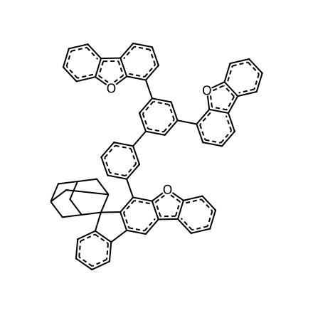 c1cc(-c2cc(-c3cccc4c3oc3ccccc34)cc(-c3cccc4c3oc3ccccc34)c2)cc(-c2c3c(cc4c2oc2ccccc24)-c2ccccc2C32C3CC4CC(C3)CC2C4)c1